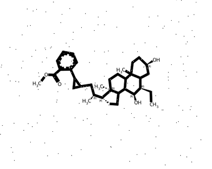 CC[C@@H]1C2C[C@H](O)CCC2(C)C2CC[C@@]3(C)C(CC[C@@H]3[C@H](C)CC3CC3c3ccccc3C(=O)OC)C2[C@@H]1O